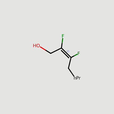 CCCC/C(F)=C(/F)CO